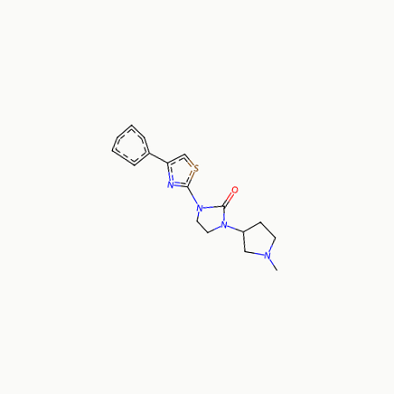 CN1CCC(N2CCN(c3nc(-c4ccccc4)cs3)C2=O)C1